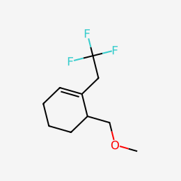 COCC1CCCC=C1CC(F)(F)F